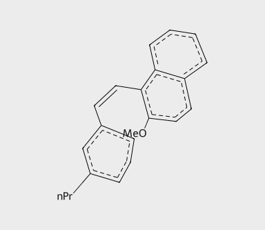 C[CH]Cc1cccc(/C=C\c2c(OC)ccc3ccccc23)c1